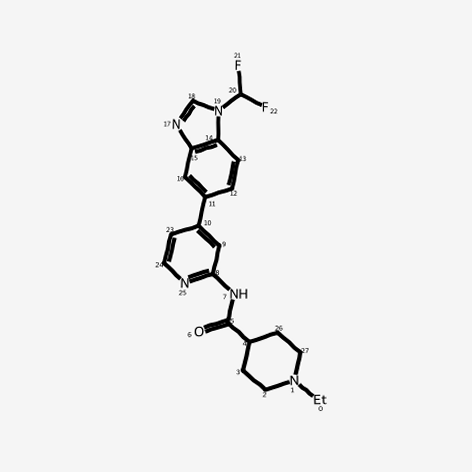 CCN1CCC(C(=O)Nc2cc(-c3ccc4c(c3)ncn4C(F)F)ccn2)CC1